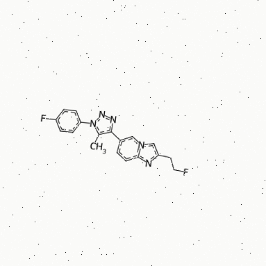 Cc1c(-c2ccc3nc(CCF)cn3c2)nnn1-c1ccc(F)cc1